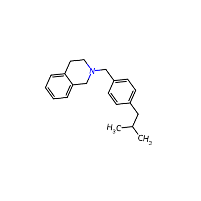 CC(C)Cc1ccc(CN2CCc3ccccc3C2)cc1